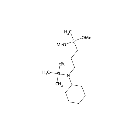 CO[Si](C)(CCCN(C1CCCCC1)[Si](C)(C)C(C)(C)C)OC